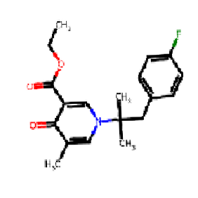 CCOC(=O)c1cn(C(C)(C)Cc2ccc(F)cc2)cc(C)c1=O